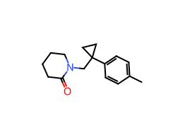 Cc1ccc(C2(CN3CCCCC3=O)CC2)cc1